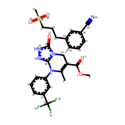 COC(=O)C1=C(C)N(c2cccc(C(F)(F)F)c2)c2n[nH]c(=O)n2[C@@H]1c1ccc(C#N)cc1CCCS(C)(=O)=O